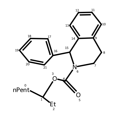 CCCCCC(CC)OC(=O)N1CCc2ccccc2C1c1ccccc1